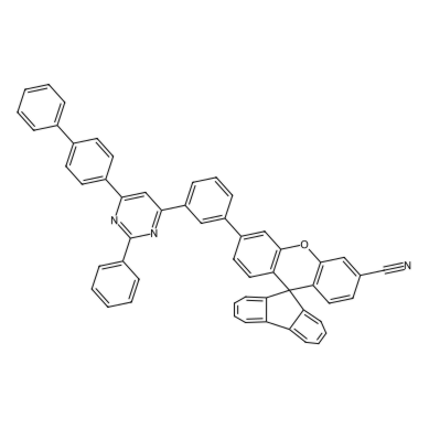 N#Cc1ccc2c(c1)Oc1cc(-c3cccc(-c4cc(-c5ccc(-c6ccccc6)cc5)nc(-c5ccccc5)n4)c3)ccc1C21c2ccccc2-c2ccccc21